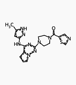 Cc1cc(Nc2nc(N3CCN(C(=O)c4cncs4)CC3)nn3cccc23)n[nH]1